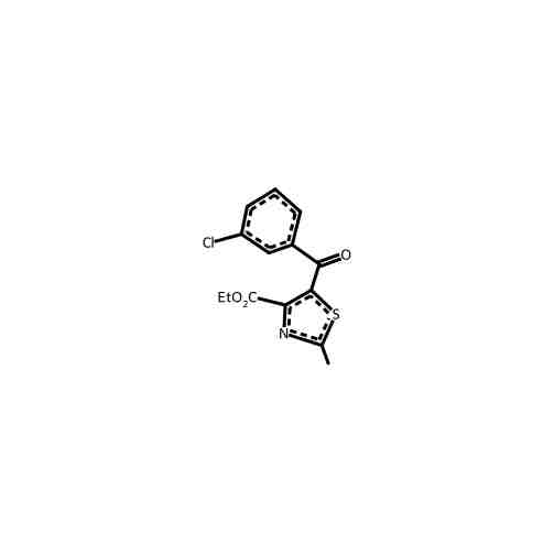 CCOC(=O)c1nc(C)sc1C(=O)c1cccc(Cl)c1